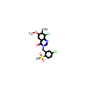 CCS(=O)(=O)c1ccc(Cl)cc1Cn1cnc2c(Cl)c(C=O)c(OC(F)(F)F)cc2c1=O